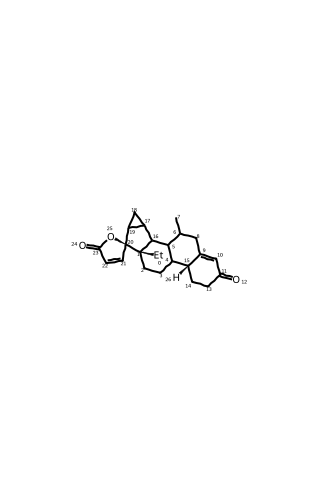 CC[C@]12CCC3C(C(C)CC4=CC(=O)CC[C@@H]43)C1C1CC1[C@@]21C=CC(=O)O1